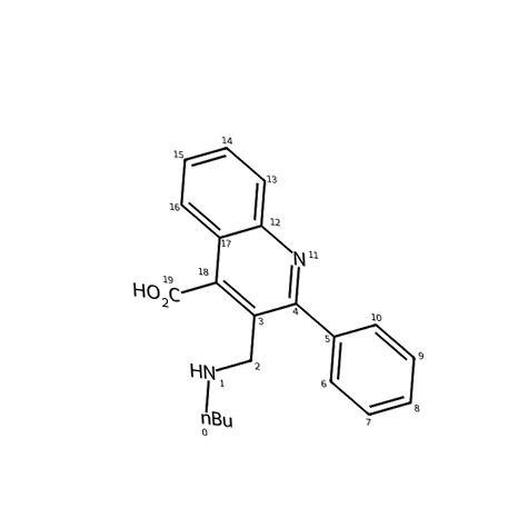 CCCCNCc1c(-c2ccccc2)nc2ccccc2c1C(=O)O